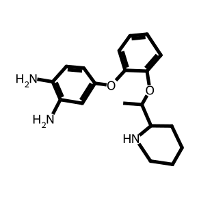 CC(Oc1ccccc1Oc1ccc(N)c(N)c1)C1CCCCN1